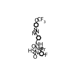 CC(C)c1cc(F)ccc1N1C(=O)C[SH]=C1NC(=O)NCc1cccc(-c2ncn(-c3ccc(OC(F)(F)F)cc3)n2)c1